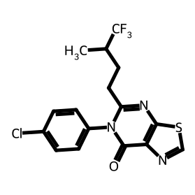 CC(CCc1nc2scnc2c(=O)n1-c1ccc(Cl)cc1)C(F)(F)F